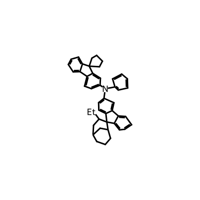 CCC1CC2CCCC(C2)C12c1ccccc1-c1cc(N(c3ccccc3)c3ccc4c(c3)C3(CCCC3)c3ccccc3-4)ccc12